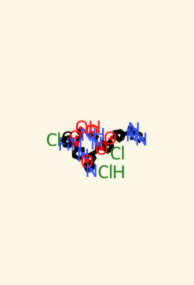 CC1C(=O)NC(CO)C(=O)NC2(Cc3ccc(Cl)cc3)CCCN(C2)C(=O)C(Cc2cccnc2)CC(=O)N1Cc1ccc(Cl)cc1Oc1ccc(-c2cnc(CN(C)C)n2C)cc1.Cl